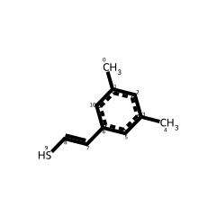 Cc1cc(C)cc(C=CS)c1